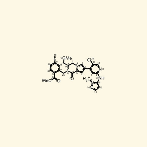 COC[C@H]1Cn2cc(-c3cc(Nc4ccnn4C)ncc3Cl)cc2C(=O)N1Cc1cc(F)ccc1C(=O)OC